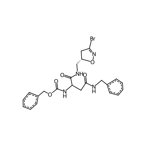 O=C(CC(NC(=O)OCc1ccccc1)C(=O)NC[C@@H]1CC(Br)=NO1)NCc1ccccc1